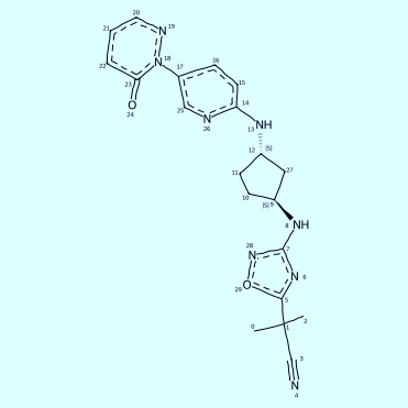 CC(C)(C#N)c1nc(N[C@H]2CC[C@H](Nc3ccc(-n4ncccc4=O)cn3)C2)no1